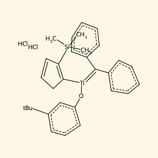 CC(C)(C)c1cccc([O][Ti]([C]2=C([Si](C)(C)C)C=CC2)=[C](c2ccccc2)c2ccccc2)c1.Cl.Cl